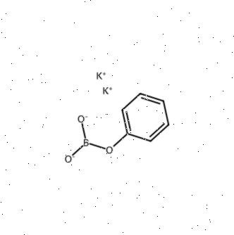 [K+].[K+].[O-]B([O-])Oc1ccccc1